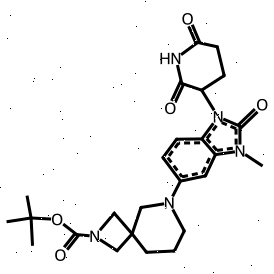 Cn1c(=O)n(C2CCC(=O)NC2=O)c2ccc(N3CCCC4(CN(C(=O)OC(C)(C)C)C4)C3)cc21